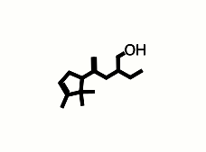 C=C(CC(CC)CO)C1CC=C(C)C1(C)C